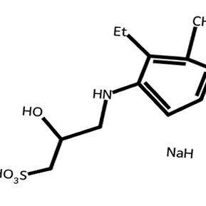 CCc1c(C)cccc1NCC(O)CS(=O)(=O)O.[NaH]